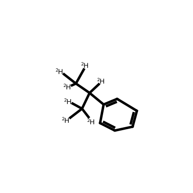 [2H]C([2H])([2H])C([2H])(c1ccccc1)C([2H])([2H])[2H]